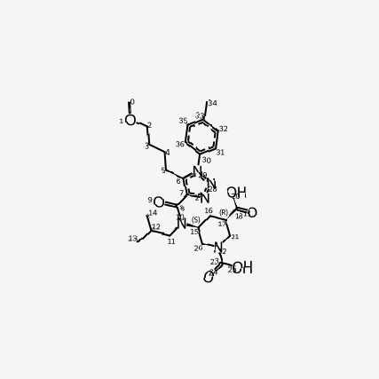 COCCCCc1c(C(=O)N(CC(C)C)[C@H]2C[C@@H](C(=O)O)CN(C(=O)O)C2)nnn1-c1ccc(C)cc1